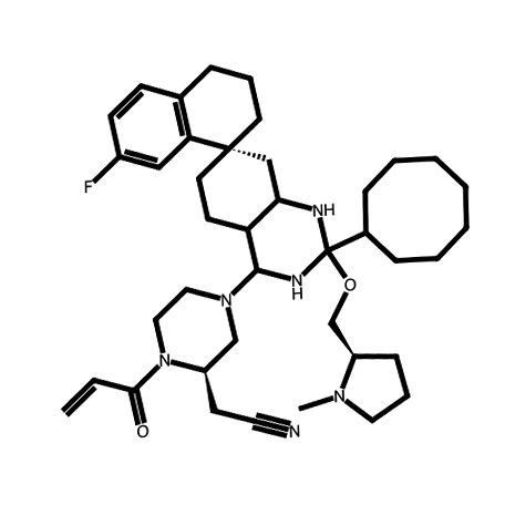 C=CC(=O)N1CCN(C2NC(OC[C@H]3CCCN3C)(C3CCCCCCC3)NC3C[C@]4(CCCc5ccc(F)cc54)CCC32)C[C@H]1CC#N